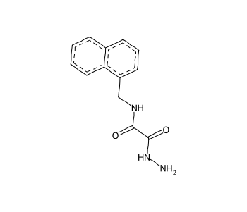 NNC(=O)C(=O)NCc1cccc2ccccc12